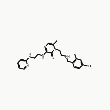 Cc1nc(N)ccc1CNCCn1c(C)cnc(NCCNc2ccccn2)c1=O